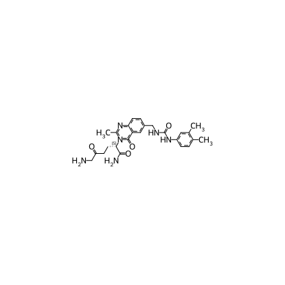 Cc1ccc(NC(=O)NCc2ccc3nc(C)n([C@@H](CCC(=O)CN)C(N)=O)c(=O)c3c2)cc1C